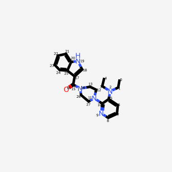 CCN(CC)c1cccnc1N1CCN(C(=O)c2c[nH]c3ccccc23)CC1